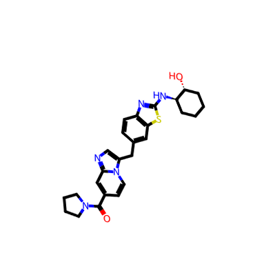 O=C(c1ccn2c(Cc3ccc4nc(N[C@@H]5CCCC[C@H]5O)sc4c3)cnc2c1)N1CCCC1